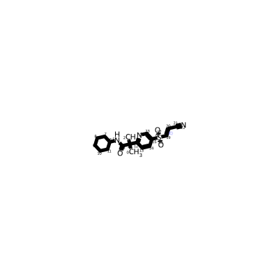 CC(C)(C(=O)NC1CCCCC1)c1ccc(S(=O)(=O)/C=C/C#N)cn1